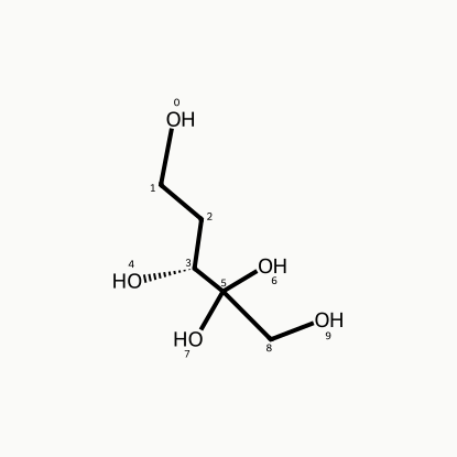 OCC[C@@H](O)C(O)(O)CO